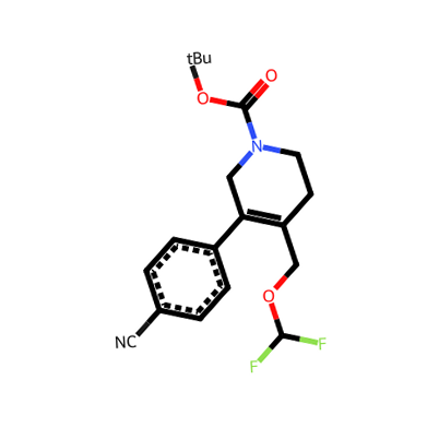 CC(C)(C)OC(=O)N1CCC(COC(F)F)=C(c2ccc(C#N)cc2)C1